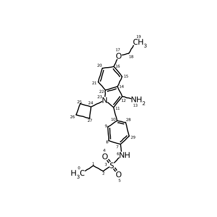 CCCS(=O)(=O)Nc1ccc(-c2c(N)c3cc(OCC)ccc3n2C2CCC2)cc1